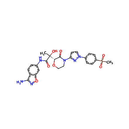 CC(O)(C(=O)Nc1ccc2c(N)noc2c1)[C@H]1OCCN(c2ccn(-c3ccc(S(C)(=O)=O)cc3)n2)C1=O